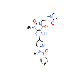 CCCn1c(=O)n(CCCN2CCCC2=O)c(=O)c2[nH]c(-c3ccc(N(CC)C(=O)c4ccc(F)cc4)nc3)nc21